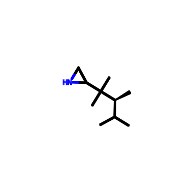 CC(C)[C@H](C)C(C)(C)C1CN1